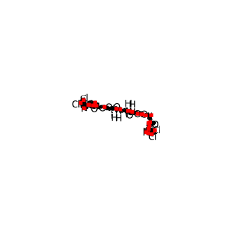 CN(CCOCCOCCNC(=O)NCCCCNC(=O)NCCOCCOCCN1CCc2ccc(C3CN(C)Cc4c(Cl)cc(Cl)cc43)cc2C1=O)CCc1ccc(C2CN(C)Cc3c(Cl)cc(Cl)cc32)cc1C=O